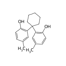 Cc1ccc(O)c(C2(c3cc(C)ccc3O)CCCCC2)c1